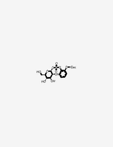 CCCCCCCCCCOc1ccccc1OS(=O)(=O)O[C@@H]1O[C@H](CO)[C@@H](O)[C@H](O)[C@@H]1O